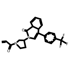 C=CC(=O)N1CCC(N2C=C(c3ccc(C(F)(F)F)cc3)C3C=CC=CC3C2=O)C1